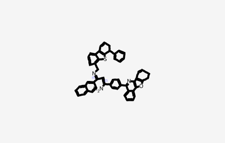 N/C(=C\C(=N/Cc1cccc2c3c(sc12)C(c1ccccc1)CC=C3)c1ccc2ccccc2c1)c1ccc(-c2nc3c4c(oc3c3ccccc23)CCC=C4)cc1